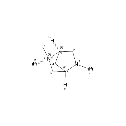 CC(C)N1C[C@H]2C[C@@H]1C[N@+]2(C)C(C)C